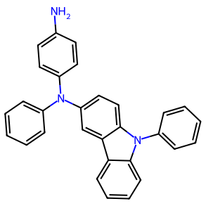 Nc1ccc(N(c2ccccc2)c2ccc3c(c2)c2ccccc2n3-c2ccccc2)cc1